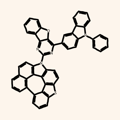 c1ccc(-n2c3ccccc3c3cc(-c4nc(-n5c6ccc7cccc8c7c6c6c7c(ccc65)sc5cccc-8c57)nc5c4oc4ccccc45)ccc32)cc1